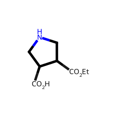 CCOC(=O)C1CNCC1C(=O)O